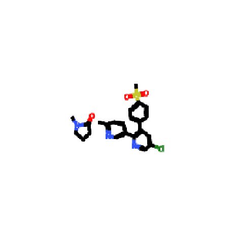 CN1CCCC1=O.Cc1ccc(-c2ncc(Cl)cc2-c2ccc(S(C)(=O)=O)cc2)cn1